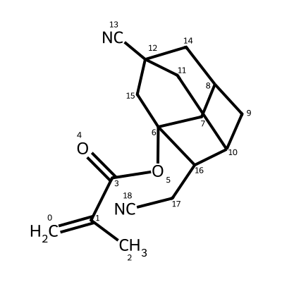 C=C(C)C(=O)OC12CC3CC(CC(C#N)(C3)C1)C2CC#N